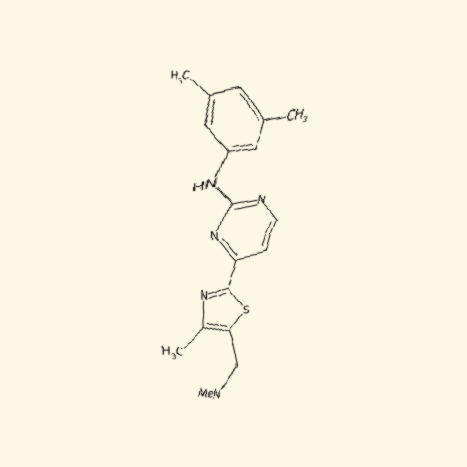 CNCc1sc(-c2ccnc(Nc3cc(C)cc(C)c3)n2)nc1C